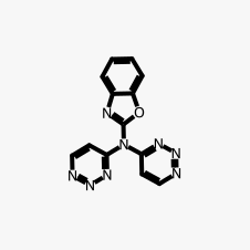 c1ccc2oc(N(c3ccnnn3)c3ccnnn3)nc2c1